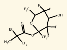 CCC(C)(C(=O)OC1(C(F)(F)F)OC(C(F)(F)F)C(F)(F)C(O)C1(F)F)C(F)(F)F